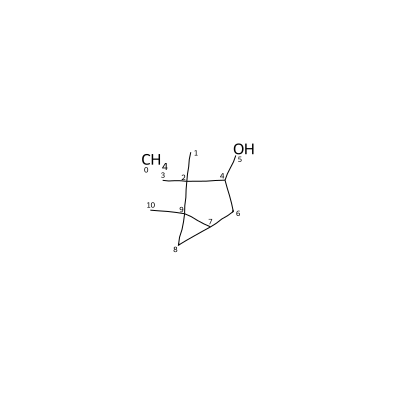 C.CC1(C)C(O)CC2CC21C